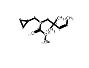 C/C=C\C(C)(C)CN(CC1CC1)C(=O)OC(C)(C)C